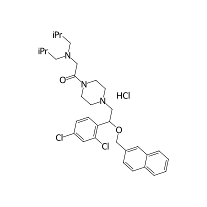 CC(C)CN(CC(=O)N1CCN(CC(OCc2ccc3ccccc3c2)c2ccc(Cl)cc2Cl)CC1)CC(C)C.Cl